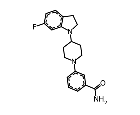 NC(=O)c1cccc(N2CCC(N3CCc4ccc(F)cc43)CC2)c1